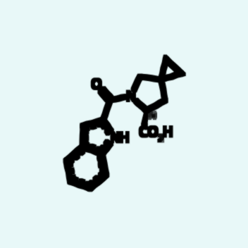 O=C(O)[C@@H]1CC2(CC2)CN1C(=O)c1cc2ccccc2[nH]1